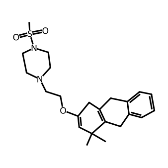 CC1(C)C=C(OCCN2CCN(S(C)(=O)=O)CC2)CC2=C1Cc1ccccc1C2